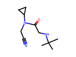 CC(C)(C)NCC(=O)N(CC#N)C1CC1